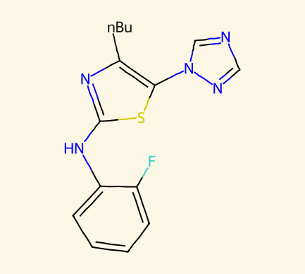 CCCCc1nc(Nc2ccccc2F)sc1-n1cncn1